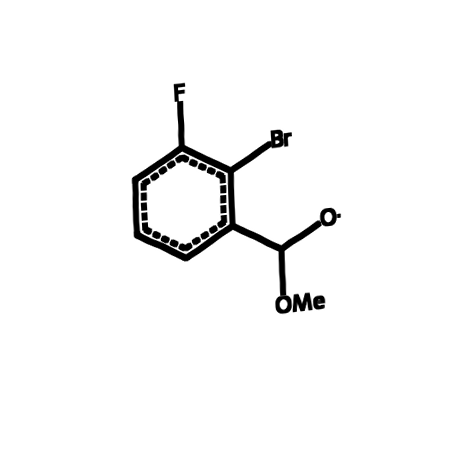 COC([O])c1cccc(F)c1Br